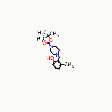 Cc1cccc(O)c1CN1CCN(C(=O)OC(C)(C)C)CC1